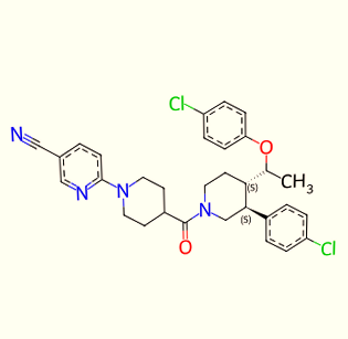 CC(Oc1ccc(Cl)cc1)[C@H]1CCN(C(=O)C2CCN(c3ccc(C#N)cn3)CC2)C[C@@H]1c1ccc(Cl)cc1